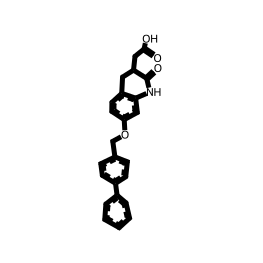 O=C(O)CC1Cc2ccc(OCc3ccc(-c4ccccc4)cc3)cc2NC1=O